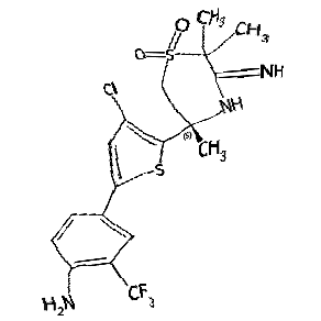 CC1(C)C(=N)N[C@](C)(c2sc(-c3ccc(N)c(C(F)(F)F)c3)cc2Cl)CS1(=O)=O